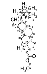 CCOC(=O)CC1CCC2C3CCc4cc(O[Si](C)(C)C(C)(C)C)c(CC)cc4C3CCC12C